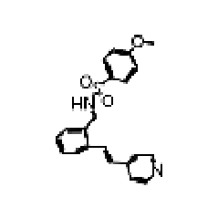 COc1ccc(S(=O)(=O)NCc2ccccc2C=Cc2ccncc2)cc1